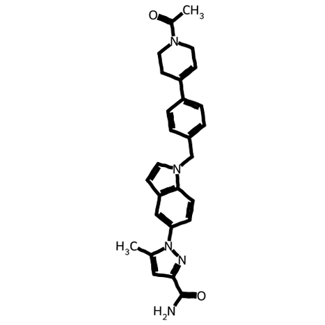 CC(=O)N1CC=C(c2ccc(Cn3ccc4cc(-n5nc(C(N)=O)cc5C)ccc43)cc2)CC1